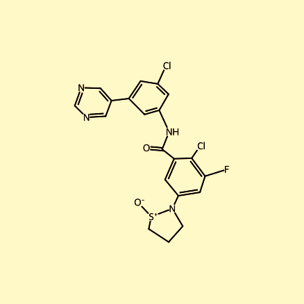 O=C(Nc1cc(Cl)cc(-c2cncnc2)c1)c1cc(N2CCC[S+]2[O-])cc(F)c1Cl